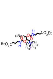 CCCCCCCCCC(OC(=O)NCCCC(=O)OCC)C(C[N+](C)(C)C)OC(=O)NCCCC(=O)OCC.[I-]